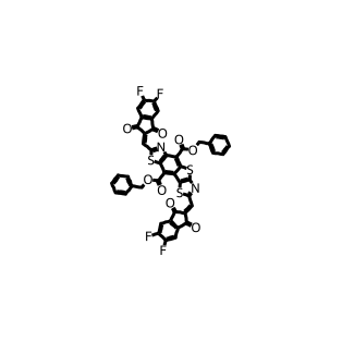 O=C1C(=Cc2nc3c(C(=O)OCc4ccccc4)c4sc5nc(C=C6C(=O)c7cc(F)c(F)cc7C6=O)sc5c4c(C(=O)OCc4ccccc4)c3s2)C(=O)c2cc(F)c(F)cc21